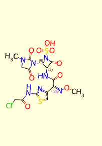 CO/N=C(\C(=O)N[C@@H]1C(=O)N(S(=O)(=O)O)[C@H]1N1C(=O)CN(C)C1=O)c1csc(NC(=O)CCl)n1